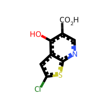 O=C(O)c1cnc2sc(Cl)cc2c1O